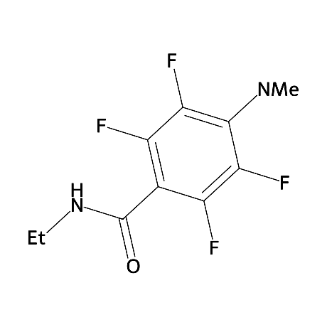 CCNC(=O)c1c(F)c(F)c(NC)c(F)c1F